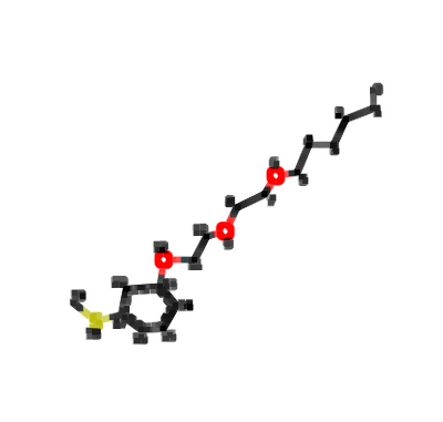 CCCCCCOCCOCCOc1cccc(SC)c1